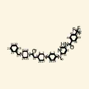 CN(c1ccc(N2CCC(CC(=O)N3CCN(Cc4ccccc4)CC3)CC2)cc1)c1ccc(NC(=O)c2ccc(C(F)(F)F)cc2)cn1